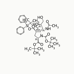 CC(=O)N[C@H]([C@H]1[C@H](CO[Si](c2ccccc2)(c2ccccc2)C(C)(C)C)C[C@H](C(=O)OC(C)(C)C)N1C(=O)OC(C)(C)C)[C@@H](O)CO